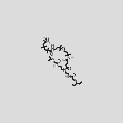 CCC(CC)SCC(=O)NCCN(CCNC(=O)CSC(C)C)C(=O)CCC(=O)NC(C)(C)CCOC(C)(C)CCNC(=O)C(C)(C)CC(C)(C)CC(=O)O